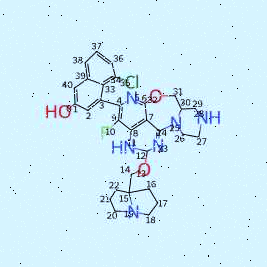 Oc1cc(-c2nc3c4c(c2F)NC(OCC25CCCN2CCC5)N=C4N2CCNCC2CO3)c2c(Cl)cccc2c1